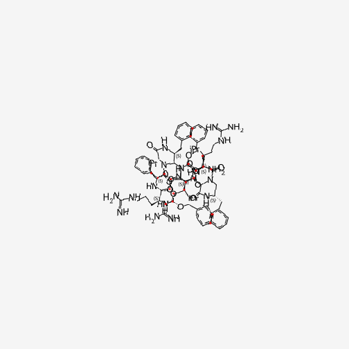 CC(C)C[C@H](NC(=O)[C@H](CCCNC(=N)N)NC(=O)OCc1ccccc1)C(=O)N1CC(=O)N[C@@H](Cc2ccccc2)C1N(C(=O)OCc1ccccc1)C(=O)[C@H](CC(C)C)N(C(=O)[C@@H](N)CCCNC(=N)N)C1C(=O)N[C@@H](Cc2ccccc2)CN1C(=O)[C@H](CC(C)C)NC(=O)[C@H](CCCNC(=N)N)NC(=O)OCc1ccccc1